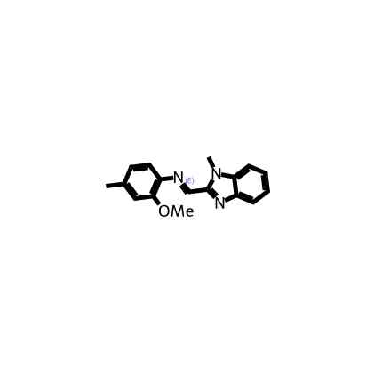 COc1cc(C)ccc1/N=C/c1nc2ccccc2n1C